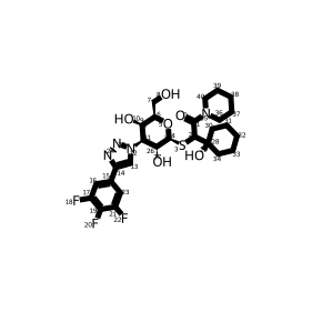 O=C(C(S[C@@H]1O[C@H](CO)[C@H](O)[C@H](n2cc(-c3cc(F)c(F)c(F)c3)nn2)[C@H]1O)C1(O)CCCCC1)N1CCCCC1